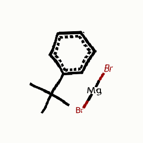 CC(C)(C)c1cc[c]cc1.[Br][Mg][Br]